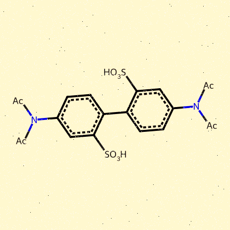 CC(=O)N(C(C)=O)c1ccc(-c2ccc(N(C(C)=O)C(C)=O)cc2S(=O)(=O)O)c(S(=O)(=O)O)c1